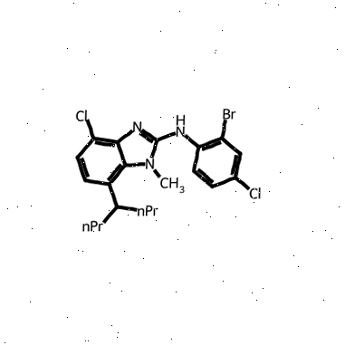 CCCC(CCC)c1ccc(Cl)c2nc(Nc3ccc(Cl)cc3Br)n(C)c12